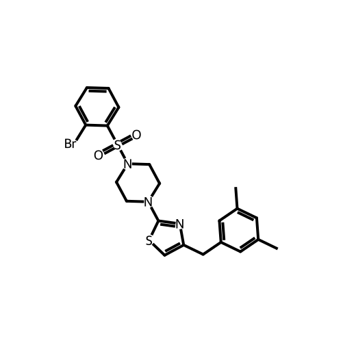 Cc1cc(C)cc(Cc2csc(N3CCN(S(=O)(=O)c4ccccc4Br)CC3)n2)c1